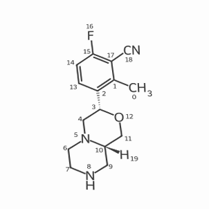 Cc1c([C@H]2CN3CCNC[C@H]3CO2)ccc(F)c1C#N